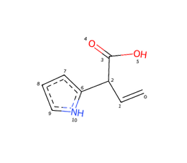 C=CC(C(=O)O)c1ccc[nH]1